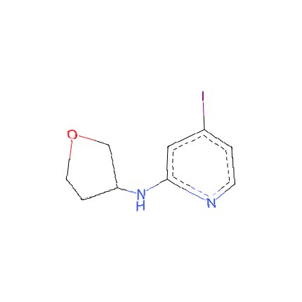 Ic1ccnc(NC2CCOC2)c1